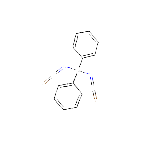 S=C=N[Si](N=C=S)(c1ccccc1)c1ccccc1